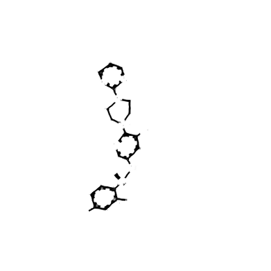 N#Cc1cc(NS(=O)(=O)c2ccc(F)cc2F)cnc1N1CCN(c2ncccn2)CC1